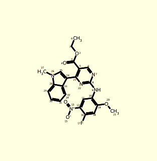 CCOC(=O)c1cnc(Nc2cc([N+](=O)[O-])c(F)cc2OC)nc1-c1cn(C)c2ccccc12